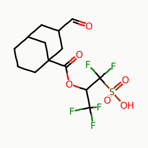 O=CC1CC2CCCC(C(=O)OC(C(F)(F)F)C(F)(F)S(=O)(=O)O)(C1)C2